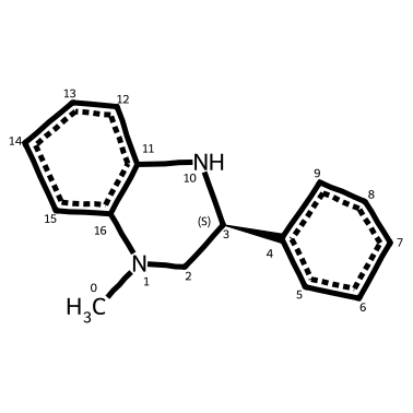 CN1C[C@H](c2ccccc2)Nc2ccccc21